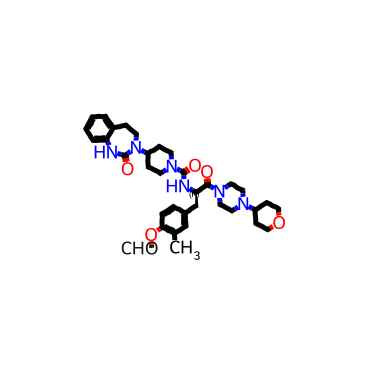 Cc1cc(C[C@@H](NC(=O)N2CCC(N3CCc4ccccc4NC3=O)CC2)C(=O)N2CCN(C3CCOCC3)CC2)ccc1OC=O